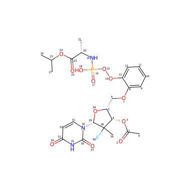 CC(=O)O[C@H]1[C@@H](COc2ccccc2OOP(=O)(O)N[C@@H](C)C(=O)OC(C)C)O[C@@H](n2ccc(=O)[nH]c2=O)C1(C)F